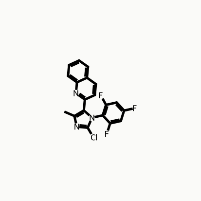 Cc1nc(Cl)n(-c2c(F)cc(F)cc2F)c1-c1ccc2ccccc2n1